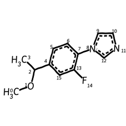 COC(C)c1ccc(-n2ccnc2)c(F)c1